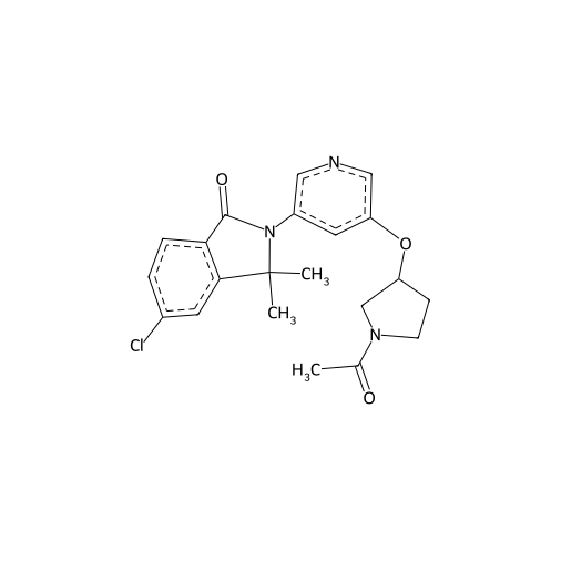 CC(=O)N1CCC(Oc2cncc(N3C(=O)c4ccc(Cl)cc4C3(C)C)c2)C1